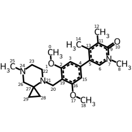 COc1cc(-c2cn(C)c(=O)c(C)c2C)cc(OC)c1CN1CCN(C)CC12CC2